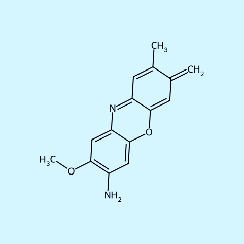 C=c1cc2c(cc1C)=Nc1cc(OC)c(N)cc1O2